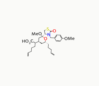 C=CCCC[C@@H]1C[C@@H]([C@@H](CCCC=C)C(=O)O)CC(OC)([C@@H]2CSC(=O)N2Cc2ccc(OC)cc2)O1